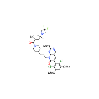 CNc1ncc2cc(-c3c(Cl)c(OC)cc(OC)c3Cl)c(=O)n(CCCC3CCN(C(=O)C(C#N)=CC(C)(C)N4CC(F)(F)C4)CC3)c2n1